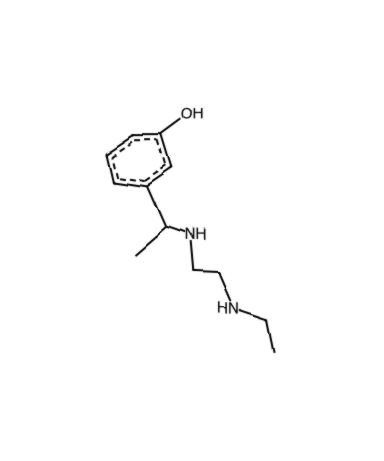 CCNCCNC(C)c1cccc(O)c1